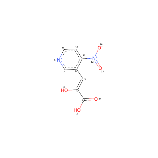 O=C(O)C(O)=Cc1cnccc1[N+](=O)[O-]